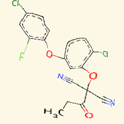 CCC(=O)C(C#N)(C#N)Oc1cc(Oc2ccc(Cl)cc2F)ccc1Cl